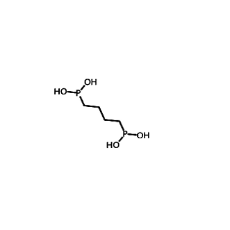 OP(O)CCCCP(O)O